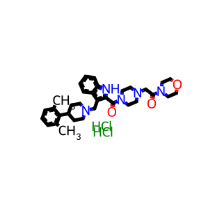 Cc1cccc(C)c1C1CCN(Cc2c(C(=O)N3CCN(CC(=O)N4CCOCC4)CC3)[nH]c3ccccc23)CC1.Cl.Cl